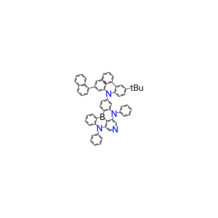 CC(C)(C)c1ccc(N(c2cccc(-c3cccc4ccccc34)c2)c2ccc3c(c2)N(c2ccccc2)c2cncc4c2B3c2ccccc2N4c2ccccc2)c(-c2ccccc2)c1